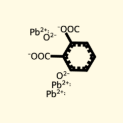 O=C([O-])c1ccccc1C(=O)[O-].[O-2].[O-2].[Pb+2].[Pb+2].[Pb+2]